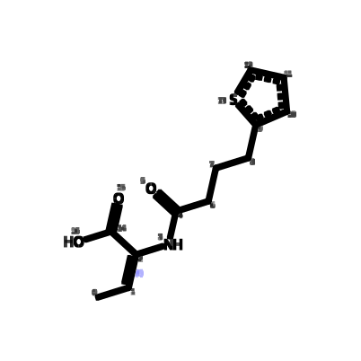 C/C=C(/NC(=O)CCCc1cccs1)C(=O)O